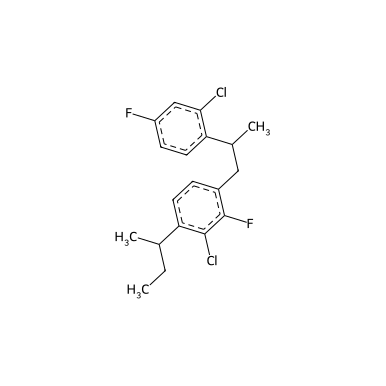 CCC(C)c1ccc(CC(C)c2ccc(F)cc2Cl)c(F)c1Cl